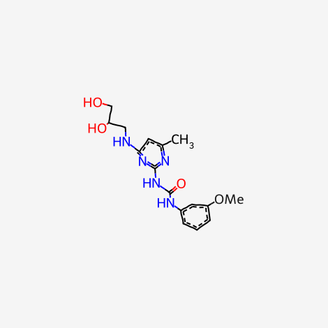 COc1cccc(NC(=O)Nc2nc(C)cc(NCC(O)CO)n2)c1